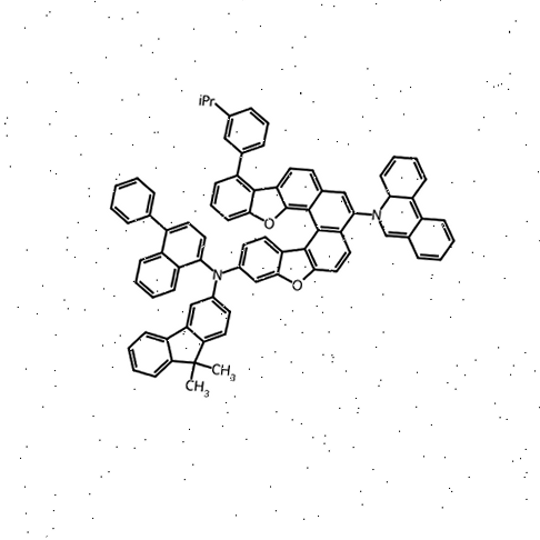 CC(C)c1cccc(-c2cccc3oc4c(ccc5cc(N6C=c7ccccc7=C7C=CC=CC76)c6ccc7oc8cc(N(c9ccc%10c(c9)-c9ccccc9C%10(C)C)c9ccc(-c%10ccccc%10)c%10ccccc9%10)ccc8c7c6c54)c23)c1